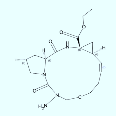 CCOC(=O)[C@@]12C[C@H]1/C=C\CCCCN(N)C(=O)N1C[C@H](C)C[C@H]1C(=O)N2